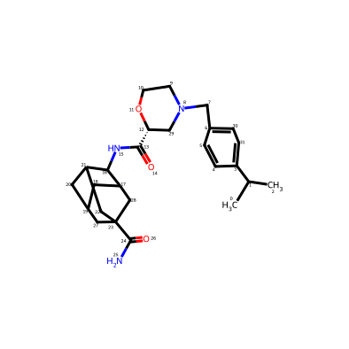 CC(C)c1ccc(CN2CCO[C@@H](C(=O)NC3C4CC5CC3CC(C(N)=O)(C5)C4)C2)cc1